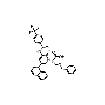 O=C(Nc1cc(-c2cccc3ccccc23)cn([C@@H](COCc2ccccc2)C(=O)O)c1=O)c1ccc(C(F)(F)F)cc1